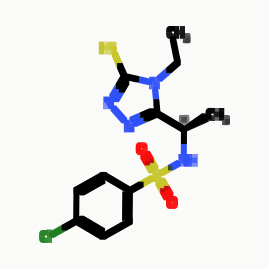 CCn1c(S)nnc1[C@@H](C)NS(=O)(=O)c1ccc(Cl)cc1